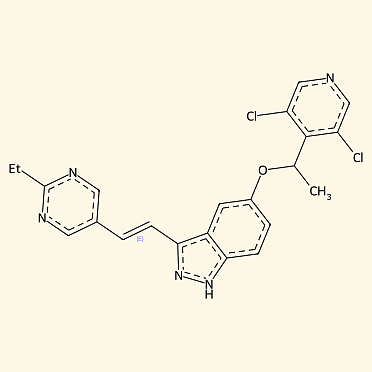 CCc1ncc(/C=C/c2n[nH]c3ccc(OC(C)c4c(Cl)cncc4Cl)cc23)cn1